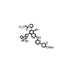 C=CC(=O)N1CCC[C@@H]1c1cc(N2CC(C3(S(=O)(=O)C(C)C)CCC3)C2)c2cnc(Nc3ccnc(N4CC[C@@H](OC)[C@@H](F)C4)n3)cc2c1C(C)C